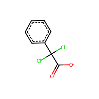 [O]C(=O)C(Cl)(Cl)c1ccccc1